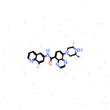 C[C@H]1CN(c2ccc(C(=O)Nc3cc(F)c4ncccc4c3)c3nccnc23)C[C@H](C)N1